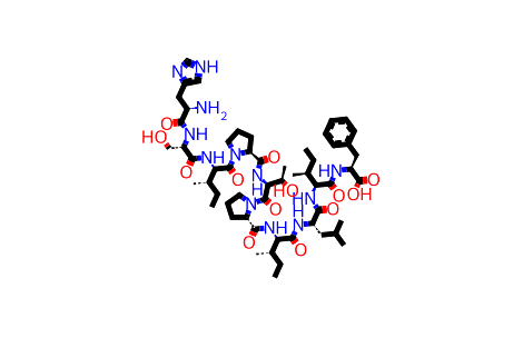 CC[C@H](C)[C@H](NC(=O)[C@H](CC(C)C)NC(=O)[C@@H](NC(=O)[C@@H]1CCCN1C(=O)[C@@H](NC(=O)[C@@H]1CCCN1C(=O)[C@@H](NC(=O)[C@H](CO)NC(=O)[C@@H](N)Cc1c[nH]cn1)[C@@H](C)CC)[C@@H](C)O)[C@@H](C)CC)C(=O)N[C@@H](Cc1ccccc1)C(=O)O